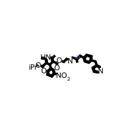 CC1=C(C(=O)OCCN=C/C(C)=C/c2ccc(Cc3cccnc3)cc2)C(c2cccc([N+](=O)[O-])c2)C(C(=O)OC(C)C)=C(C)N1